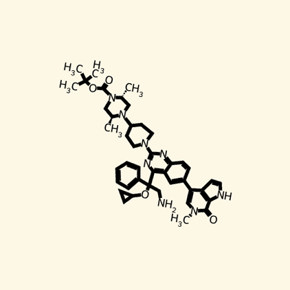 C[C@@H]1CN(C2CCN(c3nc(C(CN)(OC4CC4)c4ccccc4)c4cc(-c5cn(C)c(=O)c6[nH]ccc56)ccc4n3)CC2)[C@@H](C)CN1C(=O)OC(C)(C)C